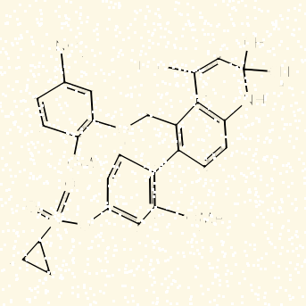 COc1ccc([N+](=O)[O-])cc1OCc1c(-c2ccc(OS(=O)(=O)C3CC3)cc2OC)ccc2c1C(C)=CC(C)(C)N2